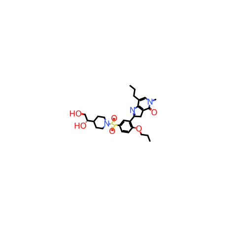 CCCOc1ccc(S(=O)(=O)N2CCC([C@H](O)CO)CC2)cc1C1=Nc2c(CCC)cn(C)c(=O)c2C1